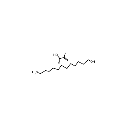 C=C(C)C(=O)O.NCCCCCCCCCCCCO